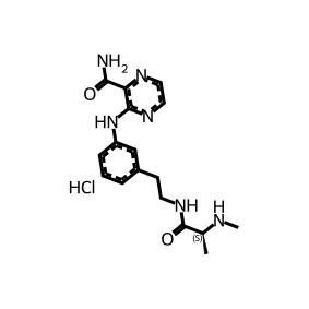 CN[C@@H](C)C(=O)NCCc1cccc(Nc2nccnc2C(N)=O)c1.Cl